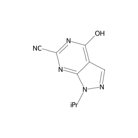 CC(C)n1ncc2c(O)nc(C#N)nc21